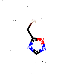 SCc1ncno1